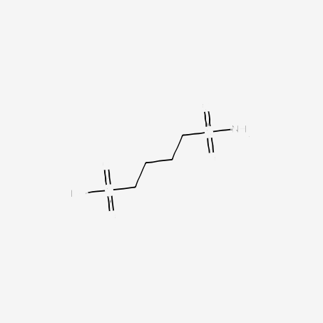 NS(=O)(=O)CCCCS(=O)(=O)O